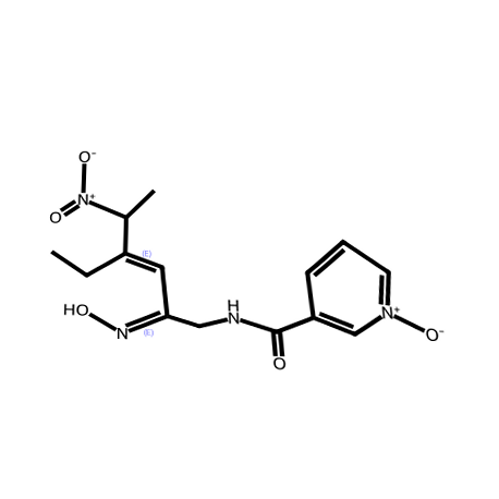 CC/C(=C\C(CNC(=O)c1ccc[n+]([O-])c1)=N/O)C(C)[N+](=O)[O-]